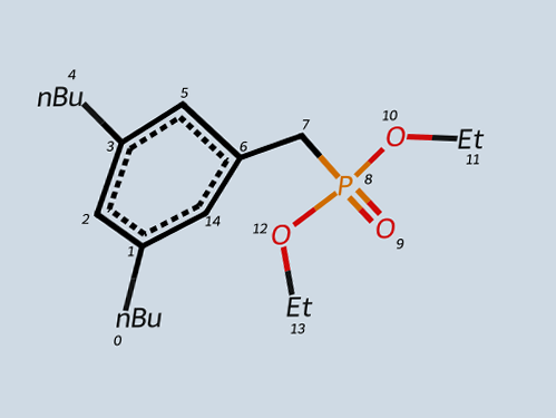 CCCCc1cc(CCCC)cc(CP(=O)(OCC)OCC)c1